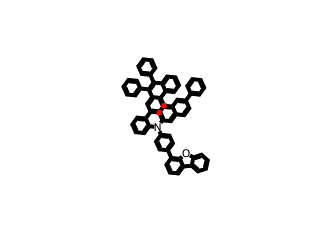 c1ccc(-c2ccc3cc(N(c4ccc(-c5cccc6c5oc5ccccc56)cc4)c4ccccc4-c4ccc5c(c4)c(-c4ccccc4)c(-c4ccccc4)c4ccccc45)ccc3c2)cc1